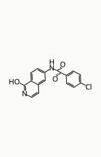 O=S(=O)(Nc1ccc2c(O)nccc2c1)c1ccc(Cl)cc1